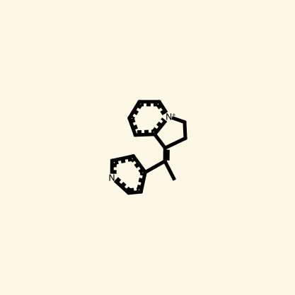 CC(=C1CC[n+]2ccccc21)c1ccncc1